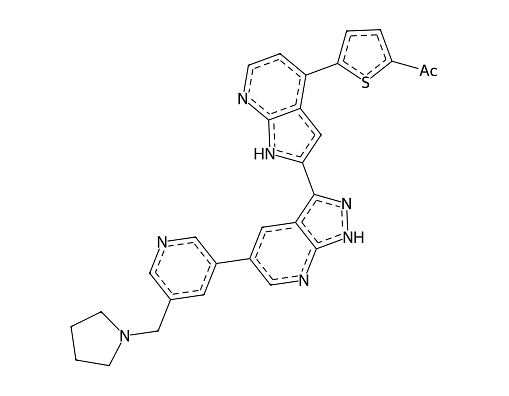 CC(=O)c1ccc(-c2ccnc3[nH]c(-c4n[nH]c5ncc(-c6cncc(CN7CCCC7)c6)cc45)cc23)s1